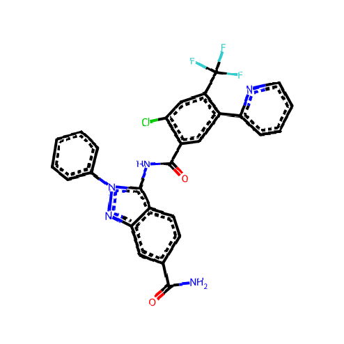 NC(=O)c1ccc2c(NC(=O)c3cc(-c4ccccn4)c(C(F)(F)F)cc3Cl)n(-c3ccccc3)nc2c1